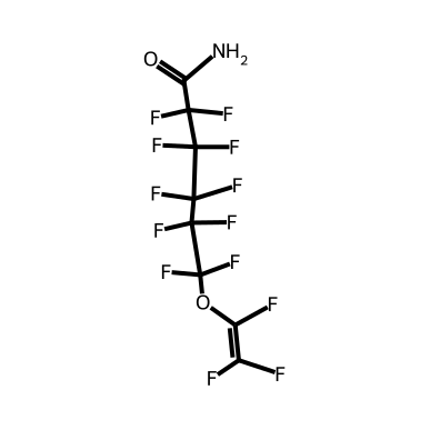 NC(=O)C(F)(F)C(F)(F)C(F)(F)C(F)(F)C(F)(F)OC(F)=C(F)F